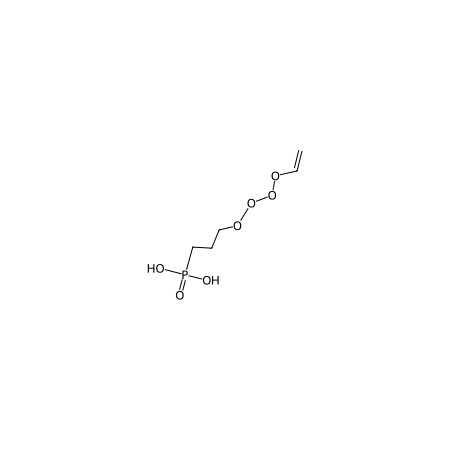 C=COOOOCCCP(=O)(O)O